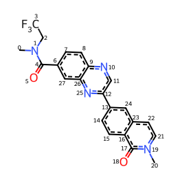 CN(CC(F)(F)F)C(=O)c1ccc2ncc(-c3ccc4c(=O)n(C)ccc4c3)nc2c1